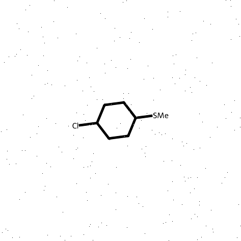 CSC1CCC(Cl)CC1